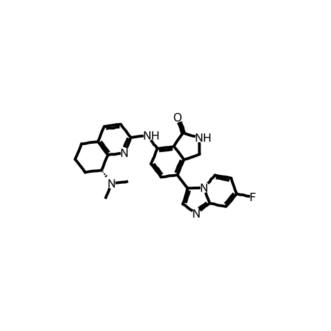 CN(C)[C@@H]1CCCc2ccc(Nc3ccc(-c4cnc5cc(F)ccn45)c4c3C(=O)NC4)nc21